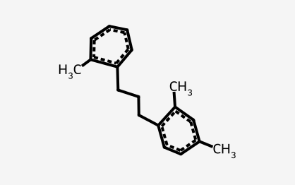 Cc1ccc(CCCc2ccccc2C)c(C)c1